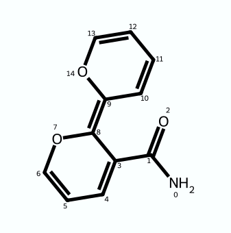 NC(=O)C1=CC=COC1=C1C=CC=CO1